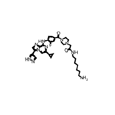 NCCCCCCCNC(=O)CN1CCN(C(=O)c2ccc(Nc3nc(C4CC4)cn4c(-c5cn[nH]c5)cnc34)c(F)c2)CC1